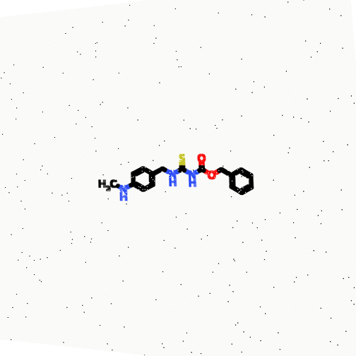 CNc1ccc(CNC(=S)NC(=O)OCc2ccccc2)cc1